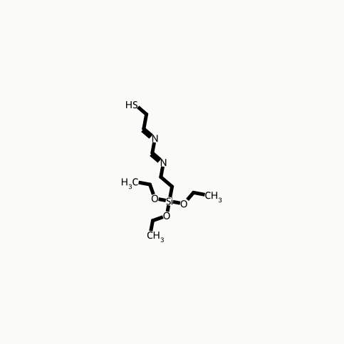 CCO[Si](CCN=CN=CCS)(OCC)OCC